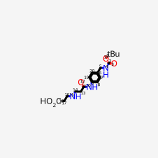 CC(C)(C)OC(=O)NCc1ccc(NC(=O)CCNCCC(=O)O)cc1